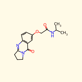 CC(C)NC(=O)COc1ccc2nc3n(c(=O)c2c1)CCC3